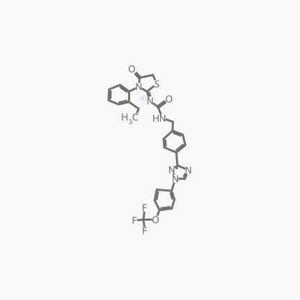 CCc1ccccc1N1C(=O)CS/C1=N\C(=O)NCc1ccc(-c2ncn(-c3ccc(OC(F)(F)F)cc3)n2)cc1